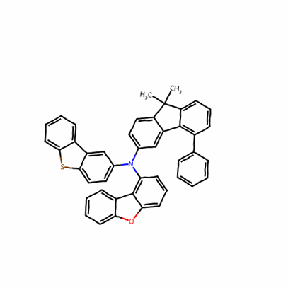 CC1(C)c2ccc(N(c3ccc4sc5ccccc5c4c3)c3cccc4oc5ccccc5c34)cc2-c2c(-c3ccccc3)cccc21